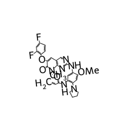 C=CC(=O)Nc1cc(Nc2ncc3cc(Oc4ccc(F)cc4F)c(=O)n(C)c3n2)c(OC)cc1N1CCCC1